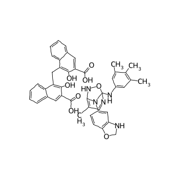 CC1=C2NOC(Nc3cc(C)c(C)c(C)c3)(N=C1)N2c1ccc2c(c1)NCO2.O=C(O)c1cc2ccccc2c(Cc2c(O)c(C(=O)O)cc3ccccc23)c1O